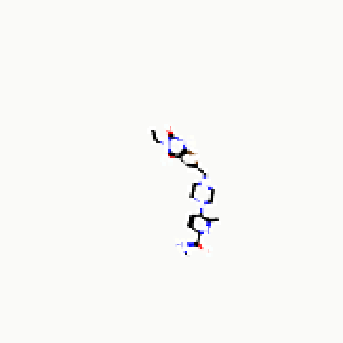 CCn1c(=O)[nH]c2sc(CN3CCN(c4ccc(C(=O)NC)nc4C)CC3)cc2c1=O